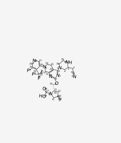 N#CCC1CN(c2nc(OC[C@@H]3C[C@@H](F)CN3C(=O)O)nc3c2CCN(c2cncc(F)c2C(F)(F)F)C3)CCN1